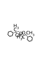 CC(C)(COOC(C)(C)c1ccccc1)c1ccccc1